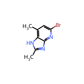 Cc1nc2nc(Br)cc(C)c2[nH]1